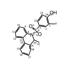 Cc1cc(S(=O)(=O)N2c3ccccc3-c3ccccc3C2C)ccc1O